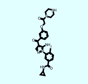 Cc1ccc(C(=O)NC2CC2)cc1-n1ncc(C(=O)c2cccc(OCC(=O)N3CCNCC3)c2)c1N